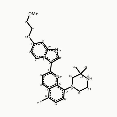 COCCOc1ccn2c(-c3ccc4c(F)ccc(N5CCNC(C)(C)C5)c4n3)cnc2c1